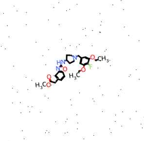 CCOc1cc(CN2CCC(Nc3nc4cc(CC(=O)OC)ccc4o3)CC2)cc(OCC)c1F